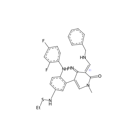 CCSNc1ccc(Nc2ccc(F)cc2F)c(C2=CN(C)C(=O)/C(=C/NCc3ccccc3)C2=N)c1